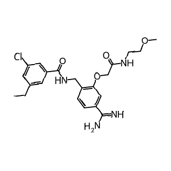 CCc1cc(Cl)cc(C(=O)NCc2ccc(C(=N)N)cc2OCC(=O)NCCOC)c1